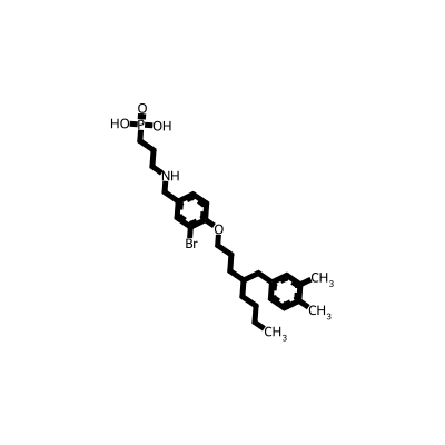 CCCCC(CCCOc1ccc(CNCCCP(=O)(O)O)cc1Br)Cc1ccc(C)c(C)c1